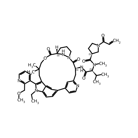 C=CC(=O)N1CC[C@H](C(=O)N(C)[C@H](C(=O)N[C@H]2Cc3cc(ccn3)-c3ccc4c(c3)c(c(-c3cccnc3COC)n4CC)CC(C)(C)COC(=O)[C@@H]3CCCN(N3)C2=O)C(C)C)C1